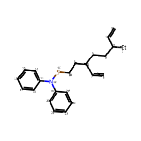 C=CC(CC)CCC(C=C)CCSN(c1ccccc1)c1ccccc1